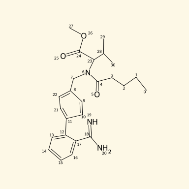 CCCCC(=O)N(Cc1ccc(-c2ccccc2C(=N)N)cc1)C(C(=O)OC)C(C)C